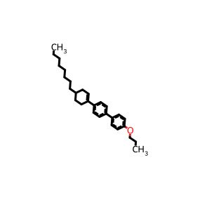 CCCCCCCCC1CC=C(c2ccc(-c3ccc(OCCC)cc3)cc2)CC1